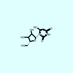 N#Cc1cc(=O)[nH]c(=O)n1[C@@H]1O[C@H](CO)C(O)C1O